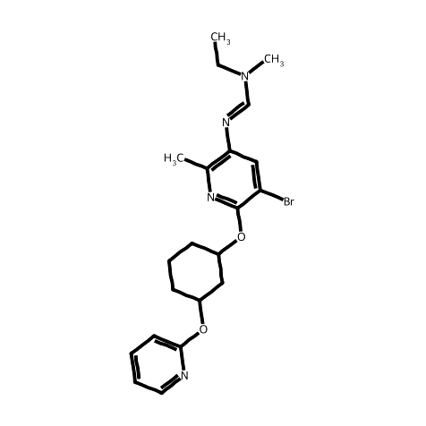 CCN(C)/C=N/c1cc(Br)c(OC2CCCC(Oc3ccccn3)C2)nc1C